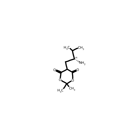 CC(C)[C@H](N)CC1C(=O)OC(C)(C)OC1=O